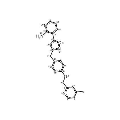 Cc1ccnc(COc2ccc(Cc3cc(-c4cccnc4N)on3)cc2)c1